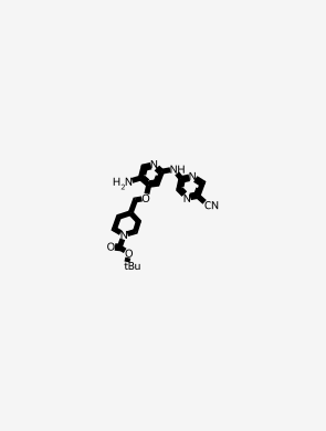 CC(C)(C)OC(=O)N1CCC(COc2cc(Nc3cnc(C#N)cn3)ncc2N)CC1